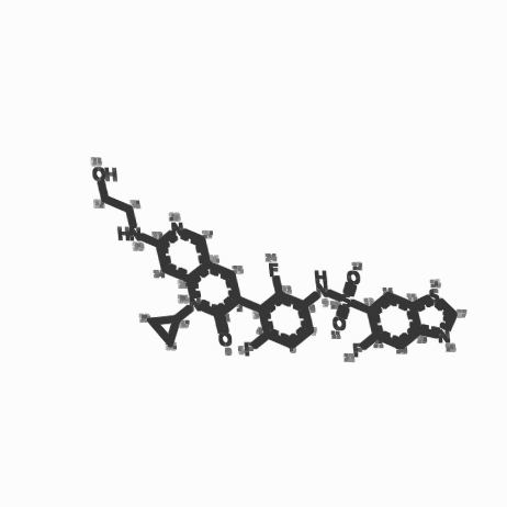 O=c1c(-c2c(F)ccc(NS(=O)(=O)c3cc4scnc4cc3F)c2F)cc2cnc(NCCO)cc2n1C1CC1